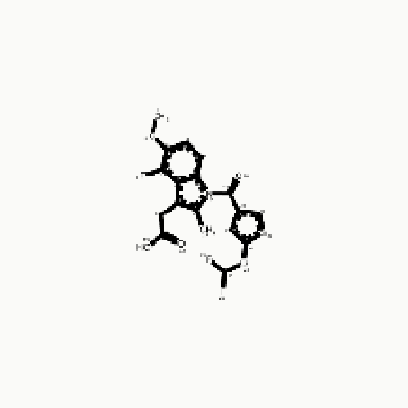 COc1ccc2c(c1F)c(CC(=O)O)c(C)n2C(=O)c1csc(OC(F)F)c1